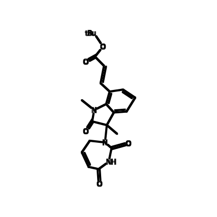 CN1C(=O)C(C)(N2CC=CC(=O)NC2=O)c2cccc(/C=C/C(=O)OC(C)(C)C)c21